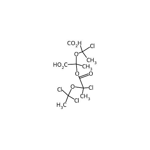 CC(Cl)(Cl)OC(C)(Cl)C(=O)OC(C)(OC(C)(Cl)C(=O)O)C(=O)O